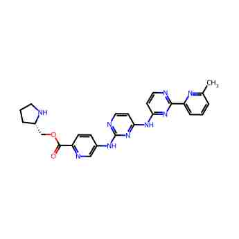 Cc1cccc(-c2nccc(Nc3ccnc(Nc4ccc(C(=O)OC[C@@H]5CCCN5)nc4)n3)n2)n1